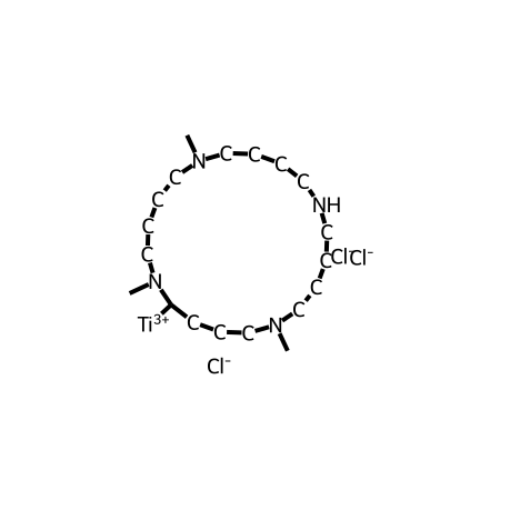 CN1CCCCNCCCCN(C)CCC[CH]([Ti+3])N(C)CCCC1.[Cl-].[Cl-].[Cl-]